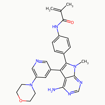 C=C(C)C(=O)Nc1ccc(-c2c(-c3cncc(N4CCOCC4)c3)c3c(N)ncnc3n2C)cc1